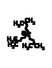 CC(C)CCC[N+]([O-])(CCCC(C)C)CCCC(C)C